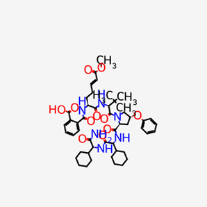 COC(=O)/C=C/CC[C@H](NC(=O)c1ccccc1C(=O)O)C(=O)N[C@H](C(=O)N1C[C@H](Oc2ccccc2)C[C@H]1C(=O)N[C@H](C(=O)N[C@H](C(N)=O)C1CCCCC1)C1CCCCC1)C(C)(C)C